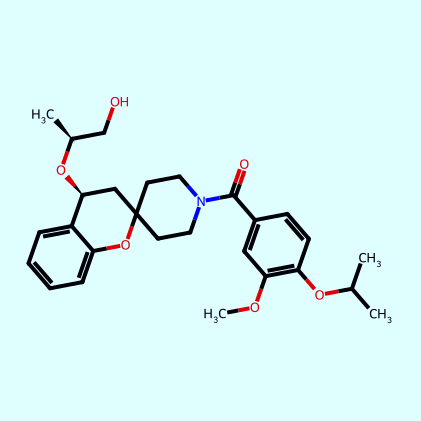 COc1cc(C(=O)N2CCC3(CC2)C[C@H](O[C@@H](C)CO)c2ccccc2O3)ccc1OC(C)C